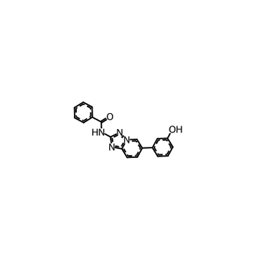 O=C(Nc1nc2ccc(-c3cccc(O)c3)cn2n1)c1ccccc1